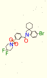 O=C(c1cccc(S(=O)(=O)N2CCC(F)(F)CC2)c1)N1CC2(CCCCC2)c2cc(Br)ccc21